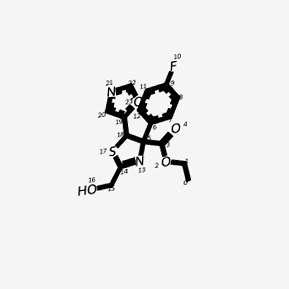 CCOC(=O)C1(c2ccc(F)cc2)N=C(CO)SC1c1cnco1